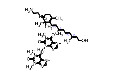 CC1=C(/C=C/C(C)=C/C=C/C(C)=C/CO)C(C)(C)CCC1.Cn1c(=O)c2[nH]cnc2n(C)c1=O.Cn1c(=O)c2[nH]cnc2n(C)c1=O.NCCN